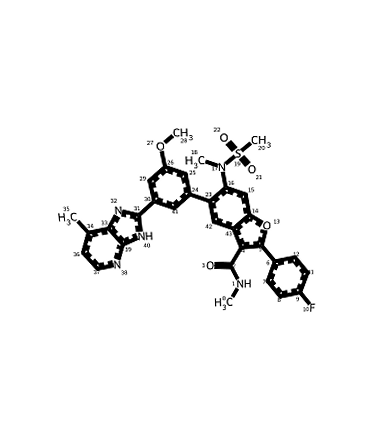 CNC(=O)c1c(-c2ccc(F)cc2)oc2cc(N(C)S(C)(=O)=O)c(-c3cc(OC)cc(-c4nc5c(C)ccnc5[nH]4)c3)cc12